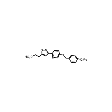 COc1ccc(COc2ccc(-c3cc(CCC(=O)O)on3)nc2)cc1